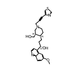 COc1ccc2nccc([C@@H](O)CC[C@@H]3CCN(CC#Cc4cscn4)C[C@@H]3CO)c2c1